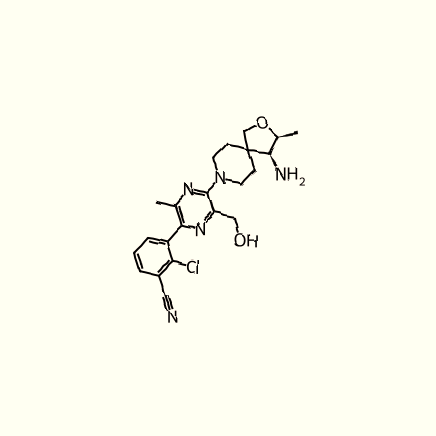 Cc1nc(N2CCC3(CC2)CO[C@@H](C)[C@H]3N)c(CO)nc1-c1cccc(C#N)c1Cl